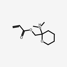 C=CC(=O)OCC1([SiH](C)C)CCCCO1